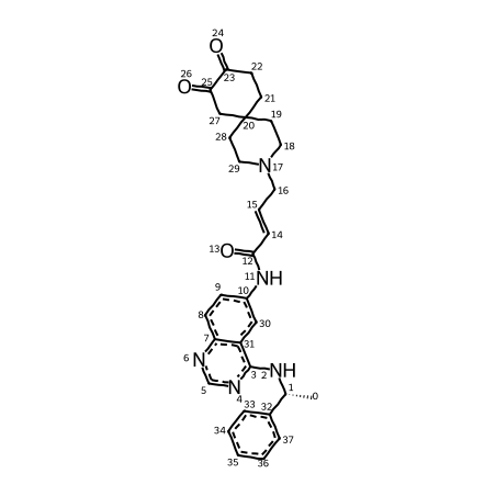 C[C@@H](Nc1ncnc2ccc(NC(=O)C=CCN3CCC4(CCC(=O)C(=O)C4)CC3)cc12)c1ccccc1